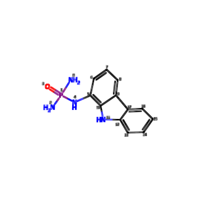 NP(N)(=O)Nc1cccc2c1[nH]c1ccccc12